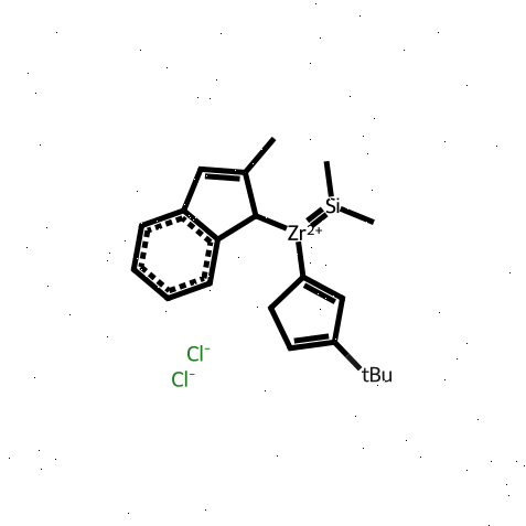 CC1=Cc2ccccc2[CH]1[Zr+2]([C]1=CC(C(C)(C)C)=CC1)=[Si](C)C.[Cl-].[Cl-]